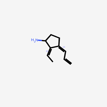 C=C/C=C1/CCC(N)/C1=C/C